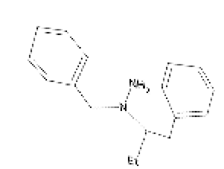 CCC(Cc1ccccc1)N(N)Cc1ccccc1